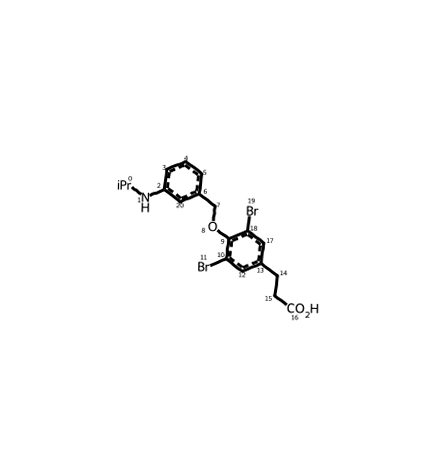 CC(C)Nc1cccc(COc2c(Br)cc(CCC(=O)O)cc2Br)c1